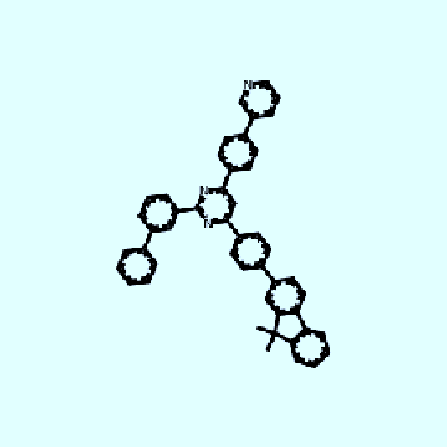 CC1(C)c2ccccc2-c2ccc(-c3ccc(-c4cc(-c5ccc(-c6cccnc6)cc5)nc(-c5cccc(-c6ccccc6)c5)n4)cc3)cc21